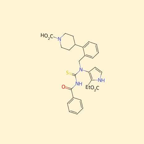 CCOC(=O)c1[nH]ccc1N(Cc1ccccc1C1CCN(C(=O)O)CC1)C(=S)NC(=O)c1ccccc1